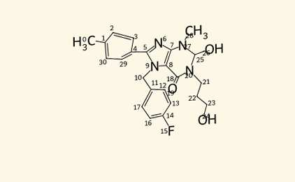 Cc1ccc(-c2nc3c(n2Cc2ccc(F)cc2)C(=O)N(CCCO)C(O)N3C)cc1